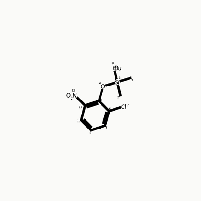 CC(C)(C)[Si](C)(C)Oc1c(Cl)cccc1[N+](=O)[O-]